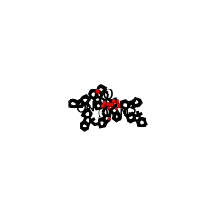 CC1(C)c2ccccc2-c2ccc(N(c3cccc4c3-c3ccccc3C43c4ccccc4Oc4c3ccc3ccc(CC5(C)c6ccccc6-c6ccc(N(c7cccc8c7-c7ccccc7C87c8ccccc8Oc8c7ccc7ccccc87)c7cccc8c7oc7ccccc78)cc65)cc43)c3cccc4c3sc3ccccc34)cc21